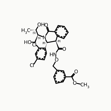 COC(=O)c1cccc(CONC(=O)[C@@H]2c3ccccc3C(=O)N([C@@H](CO)[C@H](C)O)[C@H]2c2ccc(Cl)cc2Cl)c1